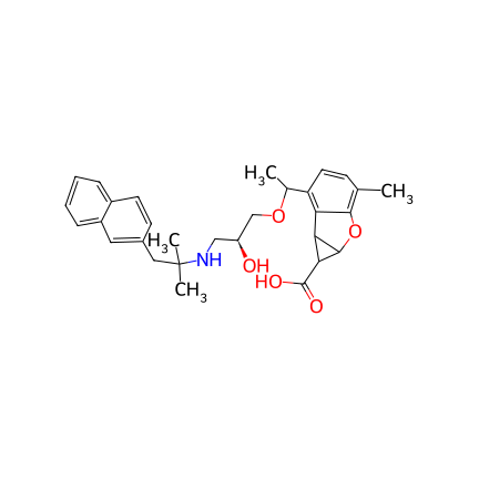 Cc1ccc(C(C)OC[C@@H](O)CNC(C)(C)Cc2ccc3ccccc3c2)c2c1OC1C(C(=O)O)C21